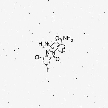 NC(=O)c1cccc(-n2c([C@@H](N)C3CC3)nc3c(Cl)cc(F)cc3c2=O)c1